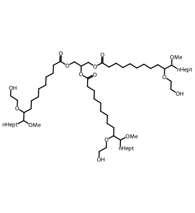 CCCCCCCC(OC)C(CCCCCCCCC(=O)OCC(COC(=O)CCCCCCCCC(OCCO)C(CCCCCCC)OC)OC(=O)CCCCCCCCC(OCCO)C(CCCCCCC)OC)OCCO